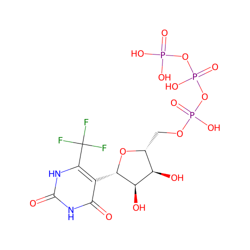 O=c1[nH]c(C(F)(F)F)c([C@@H]2O[C@H](COP(=O)(O)OP(=O)(O)OP(=O)(O)O)[C@@H](O)[C@H]2O)c(=O)[nH]1